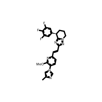 COc1nc(C=Cc2nc3n(n2)CCC[C@@H]3c2cc(F)c(F)c(F)c2)ccc1-n1cnc(C)c1